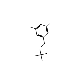 CC(C)(C)OCc1cc(F)cc(Cl)c1